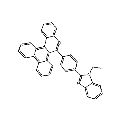 CCn1c(-c2ccc(-c3nc4ccccc4c4c5ccccc5c5ccccc5c34)cc2)nc2ccccc21